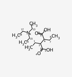 CCC(C(=O)O)C(CC)C(=O)O.CCN(CC)CC